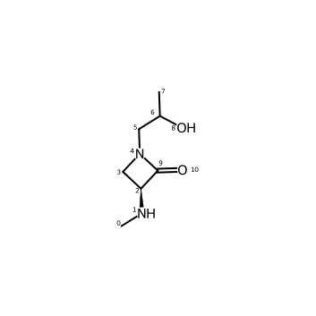 CN[C@H]1CN(CC(C)O)C1=O